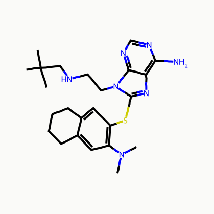 CN(C)c1cc2c(cc1Sc1nc3c(N)ncnc3n1CCNCC(C)(C)C)CCCC2